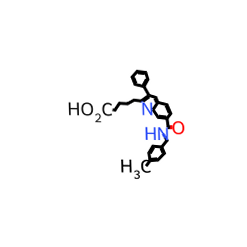 Cc1ccc(CNC(=O)c2ccc3cc(-c4ccccc4)c(CCCCC(=O)O)nc3c2)cc1